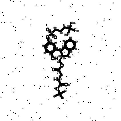 CC(C)(C)OC(=O)NCC(=O)OC[C@@H]1Cc2ccccc2C1c1cc(OS(=O)(=O)CCCC(F)(F)F)ccc1O